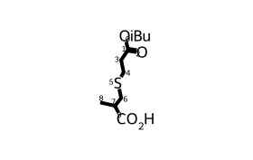 CC(C)COC(=O)CCSCC(C)C(=O)O